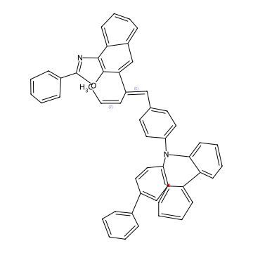 C/C=C\C(=C/c1ccc(N(c2ccc(-c3ccccc3)cc2)c2ccccc2-c2ccccc2)cc1)c1cc2ccccc2c2nc(-c3ccccc3)oc12